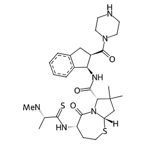 CN[C@@H](C)C(=S)N[C@H]1CCS[C@H]2CC(C)(C)[C@@H](C(=O)N[C@H]3c4ccccc4C[C@H]3C(=O)N3CCNCC3)N2C1=O